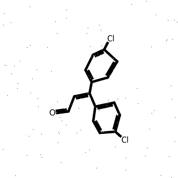 O=CC=C(c1ccc(Cl)cc1)c1ccc(Cl)cc1